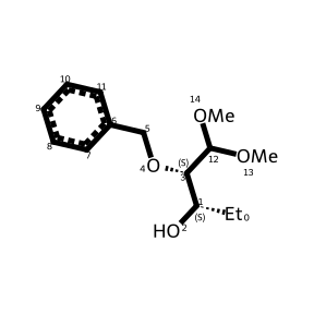 CC[C@H](O)[C@H](OCc1ccccc1)C(OC)OC